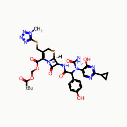 Cn1nnnc1SCC1=C(C(=O)OCOC(=O)C(C)(C)C)N2C(=O)C(NC(=O)C(c3ccc(O)cc3)N(C(N)=O)c3cnc(C4CC4)nc3O)[C@@H]2SC1